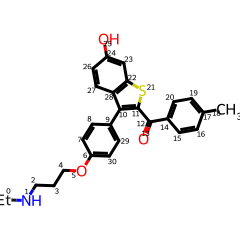 CCNCCCOc1ccc(-c2c(C(=O)c3ccc(C)cc3)sc3cc(O)ccc23)cc1